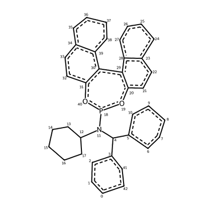 c1ccc(C(c2ccccc2)N(C2CCCCC2)p2oc3ccc4ccccc4c3c3c(ccc4ccccc43)o2)cc1